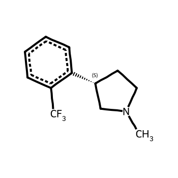 CN1CC[C@@H](c2ccccc2C(F)(F)F)C1